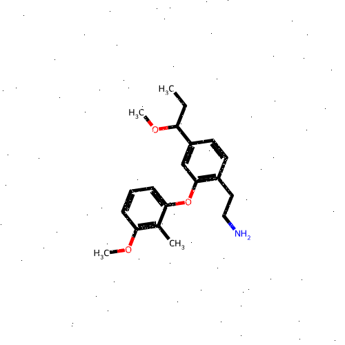 CCC(OC)c1ccc(CCN)c(Oc2cccc(OC)c2C)c1